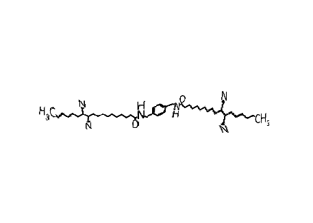 CCCCCCC(C#N)C(C#N)CCCCCCCCCC(=O)NCc1ccc(CNC(=O)CCCCCCCCCC(C#N)C(C#N)CCCCCC)cc1